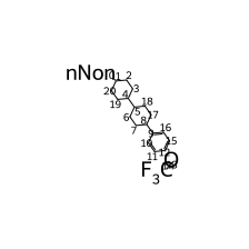 CCCCCCCCCC1CCC(C2CCC(c3ccc(OC(F)(F)F)cc3)CC2)CC1